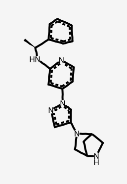 C[C@H](Nc1cc(-n2cc(N3CC4CC3CN4)cn2)ccn1)c1ccccc1